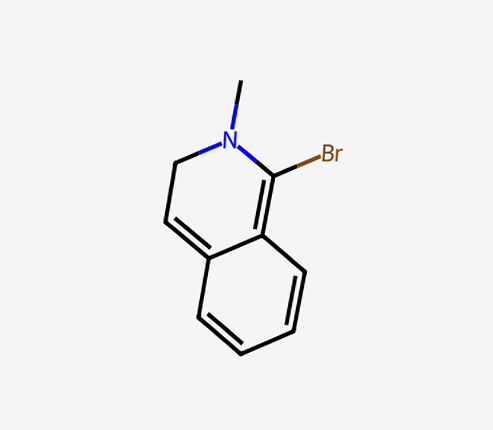 CN1CC=c2ccccc2=C1Br